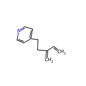 C=CC(=C)CCc1ccncc1